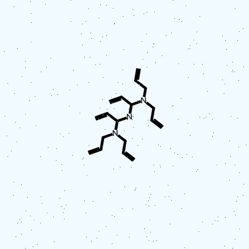 C=CCN(CC=C)C(C=C)[N]C(C=C)N(CC=C)CC=C